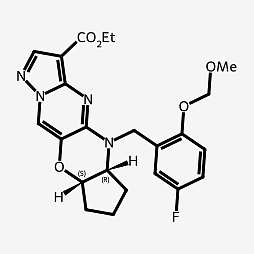 CCOC(=O)c1cnn2cc3c(nc12)N(Cc1cc(F)ccc1OCOC)[C@@H]1CCC[C@@H]1O3